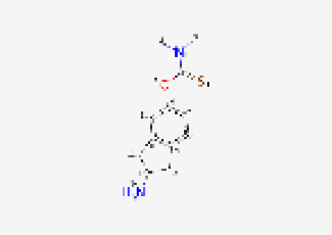 CN(C)C(=S)Oc1ccc2c(c1)CC(N)C2